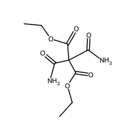 CCOC(=O)C(C(N)=O)(C(N)=O)C(=O)OCC